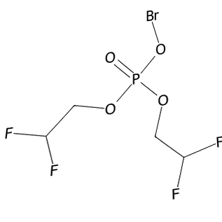 O=P(OBr)(OCC(F)F)OCC(F)F